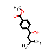 COC(=O)c1ccc([C@@H](O)CC(C)C)cc1